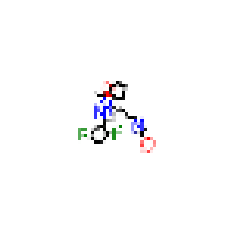 COC1CN(CCC[C@@]2(c3ccccc3)CC(c3cc(F)ccc3F)=NN2C(C)=O)C1